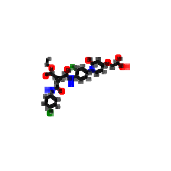 CCOC(=O)C1C(C(=O)Nc2ccc(Cl)cc2)C1C(=O)Nc1ccc(-n2ccc(OCC(=O)O)cc2=O)cc1F